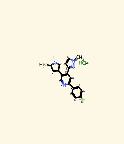 CC1CC(c2cnc(-c3ccc(F)cc3)cc2-c2ccn(C)n2)CN1.Cl